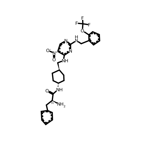 N[C@@H](Cc1ccccc1)C(=O)N[C@H]1CC[C@H](CNc2nc(NCc3ccccc3OC(F)(F)F)ncc2[N+](=O)[O-])CC1